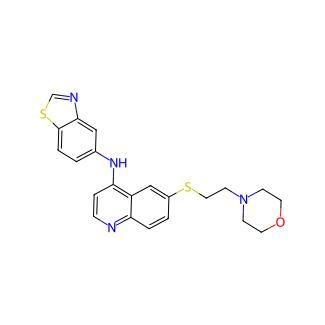 c1cc(Nc2ccc3scnc3c2)c2cc(SCCN3CCOCC3)ccc2n1